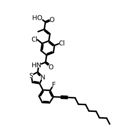 CCCCCCCCC#Cc1cccc(-c2csc(NC(=O)c3cc(Cl)c(C=C(C)C(=O)O)c(Cl)c3)n2)c1F